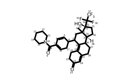 CC12CC(C3C=CC(C(=O)N4CCCCC4)=CC3)C3=C4CCC(=O)C=C4CCC3[C@@H]1CC[C@@]2(O)C(F)(F)C(F)(F)F